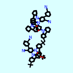 CC(C)(C)c1ccc2c(c1)c1cc(C(C)(C)C)ccc1n2-c1cc(C#N)c(-c2cccc(C#N)c2)cc1-n1c2ccc(C(C)(C)C)cc2c2cc(C(C)(C)Cc3ccc4c(c3)c3ccccc3n4-c3ccc4c5ccccc5n(-c5cc(C#N)c(-c6cccc(C#N)c6)cc5-n5c6ccccc6c6ccc(-n7c8ccccc8c8ccccc87)cc65)c4c3)ccc21